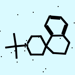 CC(C)(C)N1CCC2(CCCc3ccccc32)CC1